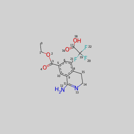 CCOC(=O)c1ccc2c(c1)C(N)=NCC2.O=C(O)C(F)(F)F